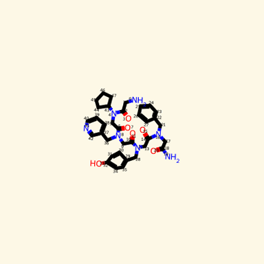 NCC(=O)N(CC(=O)N(CC(=O)N(CC(=O)N(CC(N)=O)Cc1ccccc1)Cc1ccc(O)cc1)Cc1cccnc1)C1CCCC1